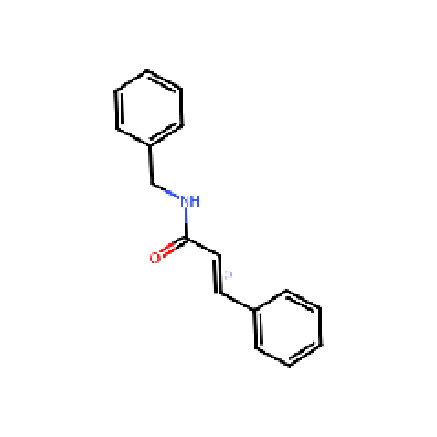 O=C(/C=C/c1ccccc1)NCc1ccccc1